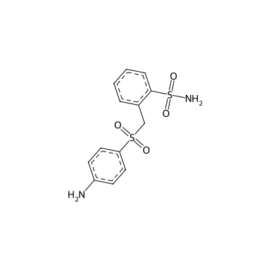 Nc1ccc(S(=O)(=O)Cc2ccccc2S(N)(=O)=O)cc1